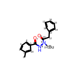 Cc1cccc(C(=O)NN(C(=O)Cc2ccccc2)C(C)(C)C)c1